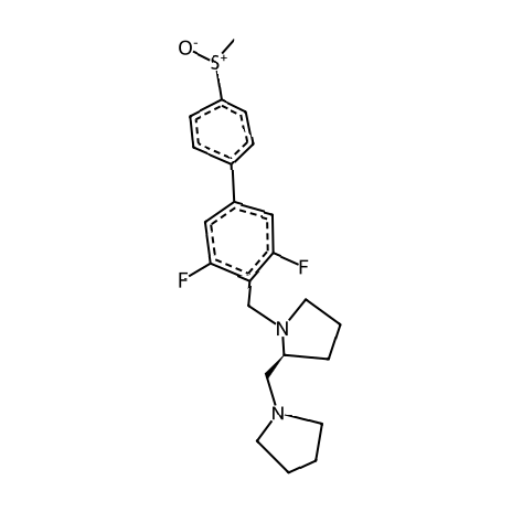 C[S+]([O-])c1ccc(-c2cc(F)c(CN3CCC[C@H]3CN3CCCC3)c(F)c2)cc1